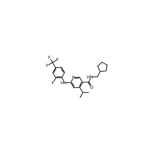 CC(C)c1cc(Nc2ccc(C(F)(F)F)cc2F)ncc1C(=O)NCC1CCCC1